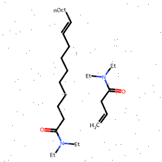 C=CCC(=O)N(CC)CC.CCCCCCCCC=CCCCCCCCC(=O)N(CC)CC